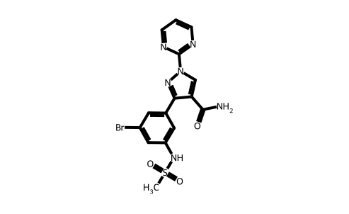 CS(=O)(=O)Nc1cc(Br)cc(-c2nn(-c3ncccn3)cc2C(N)=O)c1